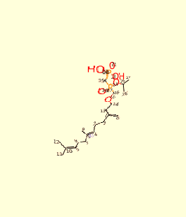 C=C(CC/C=C(\C)CCC=C(C)C)CCOCP(=O)(CP(=O)(O)O)OC(C)C